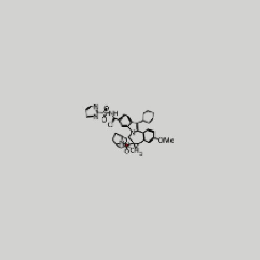 COc1ccc2c(c1)C1CC1(C(=O)N1C3CCC1CN(C)C3)Cn1c-2c(C2CCCCC2)c2ccc(C(=O)NS(=O)(=O)c3ncccn3)cc21